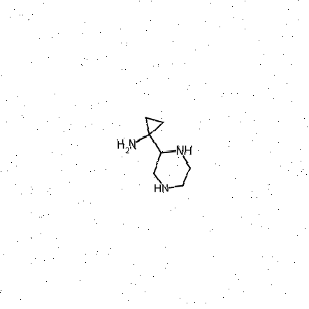 NC1(C2CNCCN2)CC1